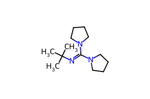 CC(C)(C)N=C(N1CCCC1)N1CCCC1